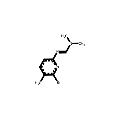 Cc1ccc(/N=C/N(C)C)nc1Br